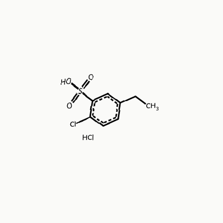 CCc1ccc(Cl)c(S(=O)(=O)O)c1.Cl